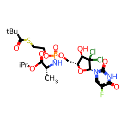 CC(C)OC(=O)[C@@H](C)NP(=O)(OCCSC(=O)C(C)(C)C)OC[C@H]1O[C@@H](n2cc(F)c(=O)[nH]c2=O)C(Cl)(Cl)[C@@H]1O